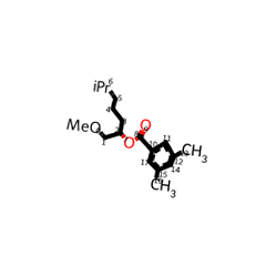 COCC(CCCC(C)C)OC(=O)c1cc(C)cc(C)c1